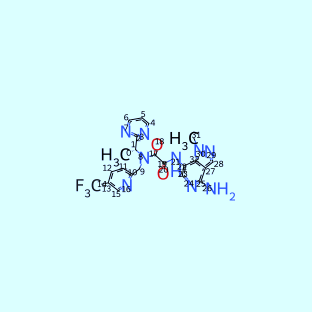 C[C@H](c1ncccn1)N(Cc1ccc(C(F)(F)F)cn1)C(=O)C(=O)Nc1cnc(N)c2cnn(C)c12